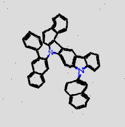 c1ccc(-c2cc3ccccc3cc2-n2c3cc4c(cc3c3c5ccccc5ccc32)c2ccccc2n4-c2ccc3ccccc3c2)cc1